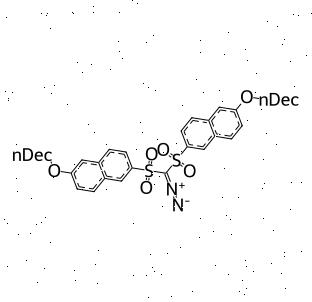 CCCCCCCCCCOc1ccc2cc(S(=O)(=O)C(=[N+]=[N-])S(=O)(=O)c3ccc4cc(OCCCCCCCCCC)ccc4c3)ccc2c1